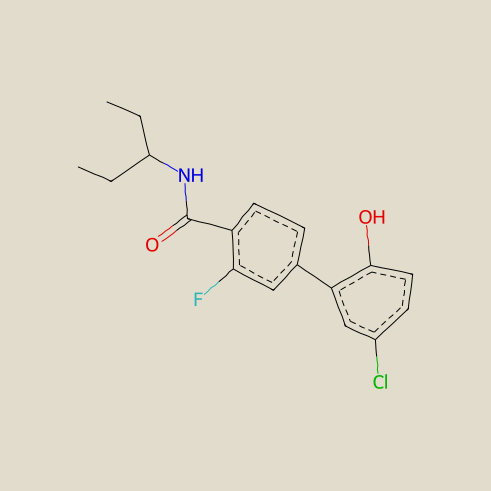 CCC(CC)NC(=O)c1ccc(-c2cc(Cl)ccc2O)cc1F